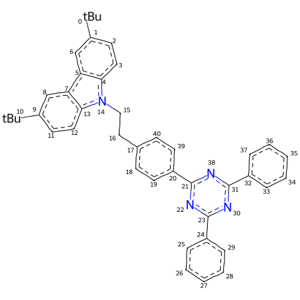 CC(C)(C)c1ccc2c(c1)c1cc(C(C)(C)C)ccc1n2CCc1ccc(-c2nc(-c3ccccc3)nc(-c3ccccc3)n2)cc1